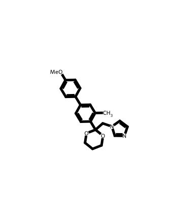 COc1ccc(-c2ccc(C3(Cn4ccnc4)OCCCO3)c(C)c2)cc1